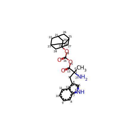 CC(N)(Cc1c[nH]c2ccccc12)C(=O)OC(=O)OC12CC3CC(CC(C3)C1)C2